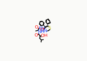 CC(C)C[C@H](O)C(=O)NC(C)C(=O)Nc1ccccc1[C@@H]1C(=O)NCCS[C@H]1c1ccccc1